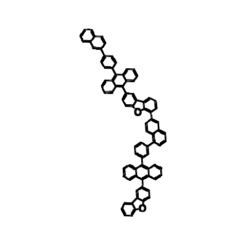 c1cc(-c2cccc3cc(-c4cccc5c4oc4ccc(-c6c7ccccc7c(-c7ccc(-c8ccc9ccccc9c8)cc7)c7ccccc67)cc45)ccc23)cc(-c2c3ccccc3c(-c3ccc4oc5ccccc5c4c3)c3ccccc23)c1